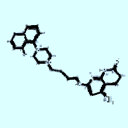 Cc1cc(OCCCCN2CCN(c3cccc4cccc(F)c34)CC2)nc2c1CCC(=O)N2